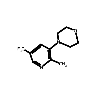 Cc1ncc(C(F)(F)F)cc1N1CCOCC1